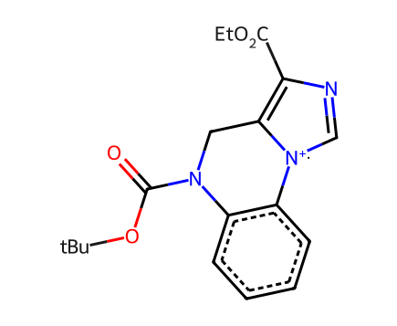 CCOC(=O)C1=C2CN(C(=O)OC(C)(C)C)c3ccccc3[N+]2C=N1